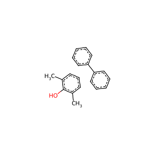 Cc1cccc(C)c1O.c1ccc(-c2ccccc2)cc1